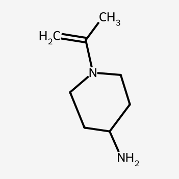 C=C(C)N1CCC(N)CC1